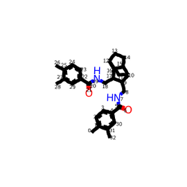 Cc1ccc(C(=O)NCC2C3CC4CCC3C4C2CNC(=O)c2ccc(C)c(C)c2)cc1C